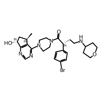 C[C@@H]1C[C@@H](O)c2ncnc(N3CCN(C(=O)[C@H](CCNC4CCOCC4)c4ccc(Br)cc4)CC3)c21